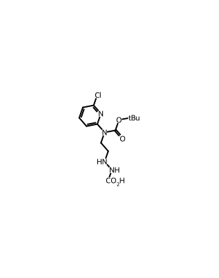 CC(C)(C)OC(=O)N(CCNNC(=O)O)c1cccc(Cl)n1